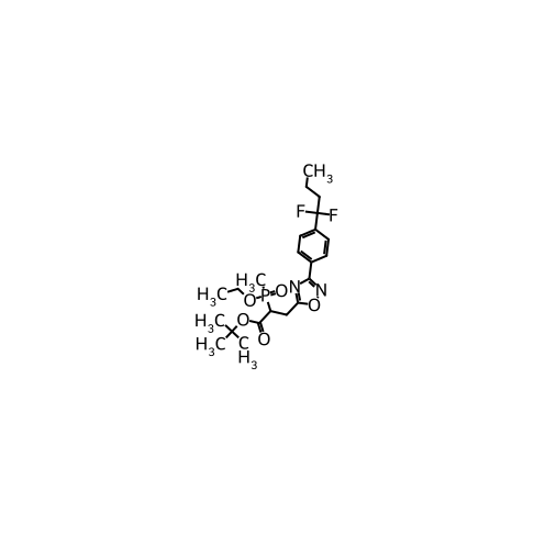 CCCC(F)(F)c1ccc(-c2noc(CC(C(=O)OC(C)(C)C)P(C)(=O)OCC)n2)cc1